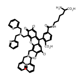 NC(CCCCNC(=O)c1ccc(C(=O)O)c(-c2c3cc(Cl)c(=O)c(CN(Cc4ccccn4)Cc4ccccn4)c-3oc3c(CN(Cc4ccccn4)Cc4ccccn4)c(O)c(Cl)cc23)c1)C(=O)O